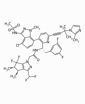 Cc1nccn1C(C)(C)C#Cc1ccc(-c2ccc(Cl)c3c(NS(C)(=O)=O)nn(C)c23)c([C@H](Cc2cc(F)cc(F)c2)NC(=O)Cn2nc(C(F)F)c3c2C(F)(F)[C@H](C)[C@@H]3C)n1